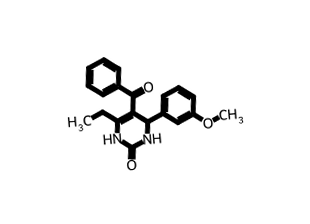 CCC1=C(C(=O)c2ccccc2)C(c2cccc(OC)c2)NC(=O)N1